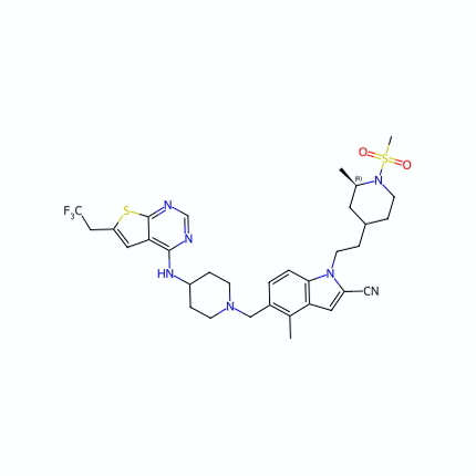 Cc1c(CN2CCC(Nc3ncnc4sc(CC(F)(F)F)cc34)CC2)ccc2c1cc(C#N)n2CCC1CCN(S(C)(=O)=O)[C@H](C)C1